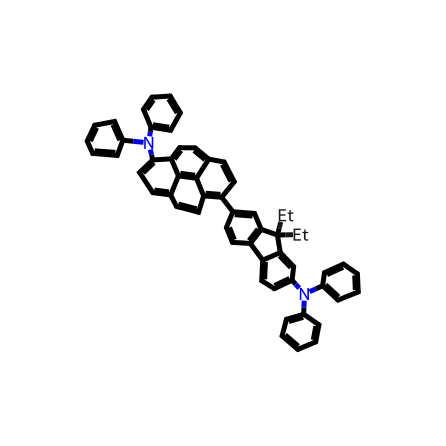 CCC1(CC)c2cc(-c3ccc4ccc5c(N(c6ccccc6)c6ccccc6)ccc6ccc3c4c65)ccc2-c2ccc(N(c3ccccc3)c3ccccc3)cc21